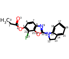 CCC(=O)Oc1ccc2nc(N3CCc4ccccc43)oc2c1F